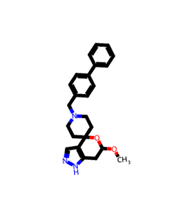 COC1Cc2[nH]ncc2C2(CCN(Cc3ccc(-c4ccccc4)cc3)CC2)O1